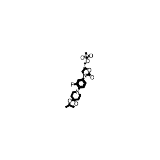 CC1COC2(CCN(c3ccc(N4C[C@H](COS(C)(=O)=O)OC4=O)cc3F)CC2)O1